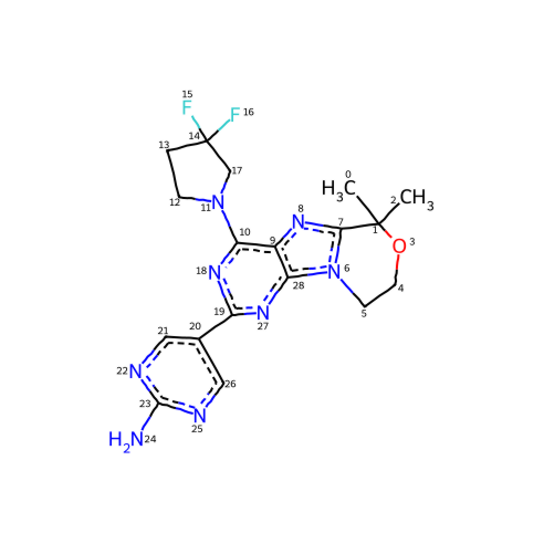 CC1(C)OCCn2c1nc1c(N3CCC(F)(F)C3)nc(-c3cnc(N)nc3)nc12